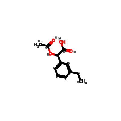 CCc1cccc(C(OC(C)=O)C(=O)O)c1